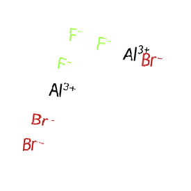 [Al+3].[Al+3].[Br-].[Br-].[Br-].[F-].[F-].[F-]